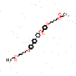 C=CC(=O)OCCCCCCOc1ccc(C(=O)O[C@H]2CC[C@H](c3ccc(-c4ccc(OCCCCCCOC(=O)C=C)cc4)cc3)CC2)cc1